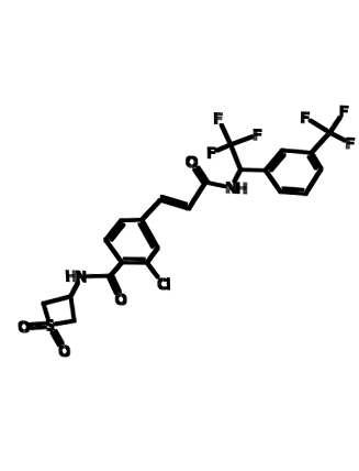 O=C(/C=C/c1ccc(C(=O)NC2CS(=O)(=O)C2)c(Cl)c1)NC(c1cccc(C(F)(F)F)c1)C(F)(F)F